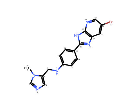 Cn1cncc1CNc1ccc(-c2nc3cc(Br)cnc3[nH]2)cc1